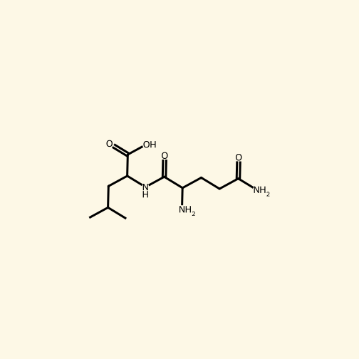 CC(C)CC(NC(=O)C(N)CCC(N)=O)C(=O)O